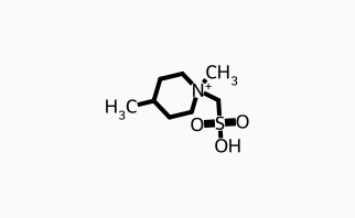 CC1CC[N+](C)(CS(=O)(=O)O)CC1